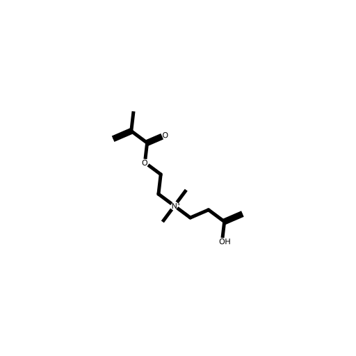 C=C(O)CC[N+](C)(C)CCOC(=O)C(=C)C